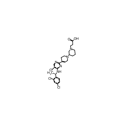 C[C@@H](Nc1nc(C2=CCN(C3CCCN(CCC(=O)O)C3)CC2)ncc1Cl)c1ccc(Cl)cc1Cl